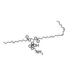 CCCCC/C=C\C/C=C\CCCCCCCCCCCC(=O)O[C@H](COC(=O)CCCCCCCCCCCC)COP(=O)(O)OCCN